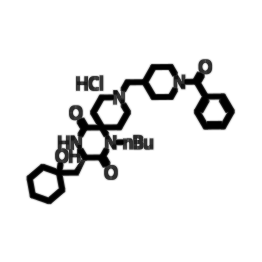 CCCCN1C(=O)[C@@H](CC2(O)CCCCC2)NC(=O)C12CCN(CC1CCN(C(=O)c3ccccc3)CC1)CC2.Cl